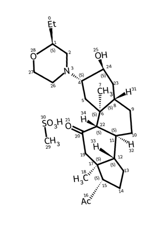 CC[C@H]1CN([C@H]2C[C@@]3(C)[C@@H](CC[C@H]4[C@@H]5CC[C@H](C(C)=O)[C@@]5(C)CC(=O)[C@@H]43)C[C@@H]2O)CCO1.CS(=O)(=O)O